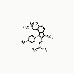 Cc1ccc(-n2c(/C=C/N(C)C)c([N+](=O)[O-])c3ccc(O)c(CN(C)C)c32)cc1